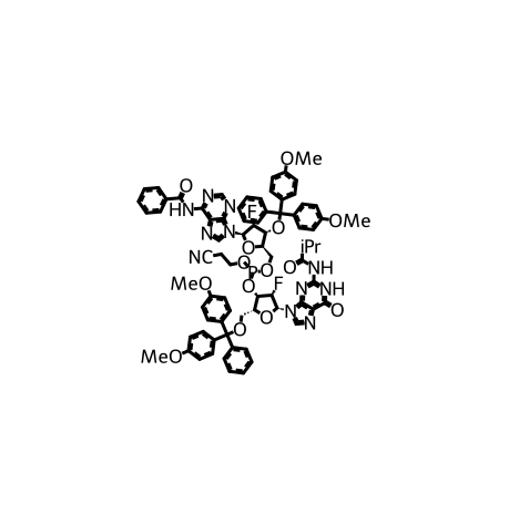 COc1ccc(C(OC[C@H]2O[C@@H](n3cnc4c(=O)[nH]c(NC(=O)C(C)C)nc43)[C@H](F)[C@@H]2OP(OCCC#N)OC[C@H]2O[C@@H](n3cnc4c(NC(=O)c5ccccc5)ncnc43)[C@H](F)[C@@H]2OC(c2ccccc2)(c2ccc(OC)cc2)c2ccc(OC)cc2)(c2ccccc2)c2ccc(OC)cc2)cc1